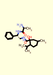 CC1CCC(C(C)C)C(O)(C(=O)NC[C@@H](NC(=O)[C@H](C)N)c2ccccc2)C1